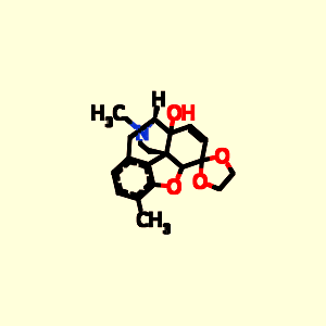 Cc1ccc2c3c1OC1C4(C=CC5(O)[C@@H](C2)N(C)CC[C@]315)OCCO4